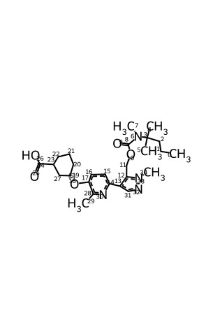 CCCC(C)(C)N(C)C(=O)OCc1c(-c2ccc(O[C@H]3CCCC(C(=O)O)C3)c(C)n2)cnn1C